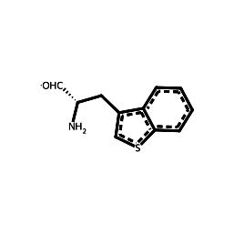 N[C@H]([C]=O)Cc1csc2ccccc12